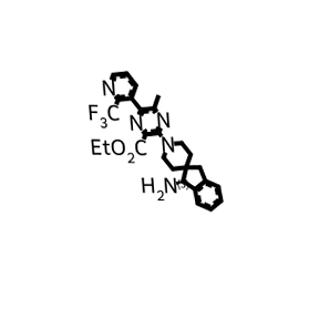 CCOC(=O)c1nc(-c2cccnc2C(F)(F)F)c(C)nc1N1CCC2(CC1)Cc1ccccc1[C@H]2N